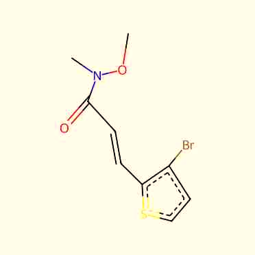 CON(C)C(=O)/C=C/c1sccc1Br